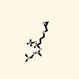 C[SiH](C)CO[SiH](C)O[Si](C)(CCCOCC1CO1)O[Si](C)(C)C